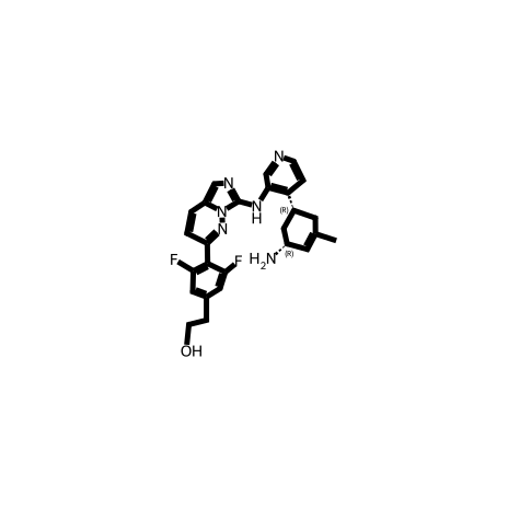 CC1=C[C@H](N)C[C@H](c2ccncc2Nc2ncc3ccc(-c4c(F)cc(CCO)cc4F)nn23)C1